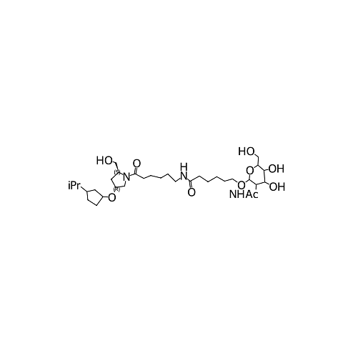 CC(=O)NC1C(OCCCCCC(=O)NCCCCCC(=O)N2C[C@H](OC3CCC(C(C)C)C3)C[C@H]2CO)OC(CO)C(O)C1O